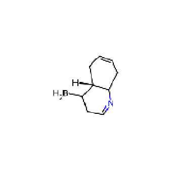 BC1CC=NC2CC=CC[C@@H]12